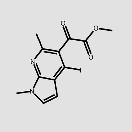 COC(=O)C(=O)c1c(C)nc2c(ccn2C)c1I